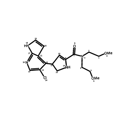 COCCN(CCOC)C(=O)C1=CC(c2c(Cl)cnc3[nH]ccc23)CN1